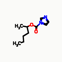 CCCCC(C)OC(=O)n1ccnc1